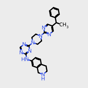 CC(c1ccccc1)c1cnc(N2CCN(c3ncnc(Nc4ccc5c(c4)CNCC5)n3)CC2)nc1